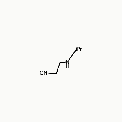 CC(C)NCCN=O